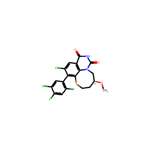 CO[C@H]1CCSc2c(-c3cc(Cl)c(F)cc3F)c(Cl)cc3c(=O)[nH]c(=O)n(c23)C1